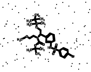 COCCN(C(=O)OC(C)(C)C)C(CO[Si](C)(C)C(C)(C)C)c1cccc(NS(=O)(=O)c2ccc(Br)cc2)c1